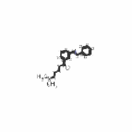 CN(C)CCCCC(=O)c1cccc(/C=C/c2ccccc2)c1